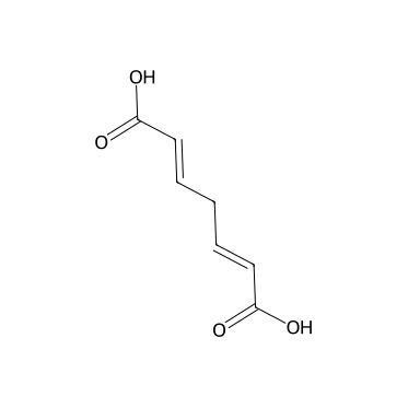 O=C(O)C=CCC=CC(=O)O